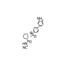 N#CCNC(=O)[C@H]1CCCC[C@@H]1CS(=O)(=O)c1ccc(-c2cccc(N)c2)cc1